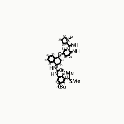 COc1c(NSC)cc(C(C)(C)C)cc1NC(=O)NC1CCC(Oc2ccc(=N)n(C(=N)C3CCCN3C)c2)c2ccccc21